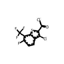 O=C(Cl)c1sc2c(C(F)(F)F)c(F)ccc2c1Cl